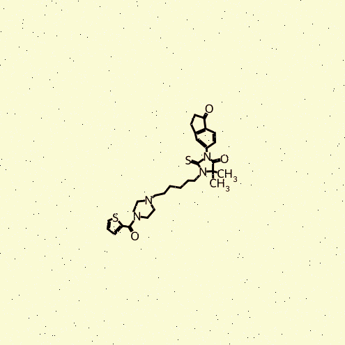 CC1(C)C(=O)N(c2ccc3c(c2)CCC3=O)C(=S)N1CCCCCCN1CCN(C(=O)c2cccs2)CC1